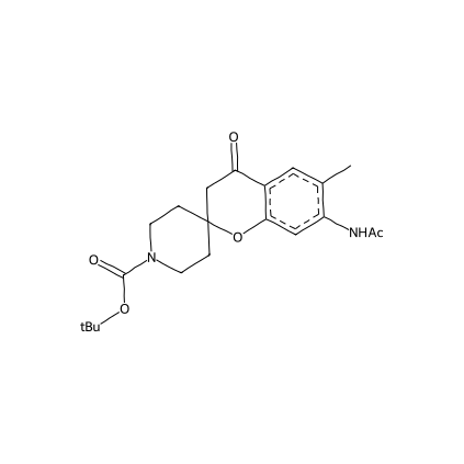 CC(=O)Nc1cc2c(cc1C)C(=O)CC1(CCN(C(=O)OC(C)(C)C)CC1)O2